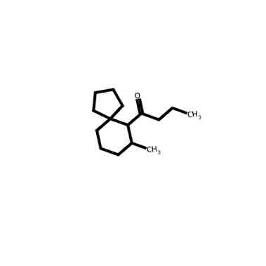 CCCC(=O)C1C(C)CCCC12CCCC2